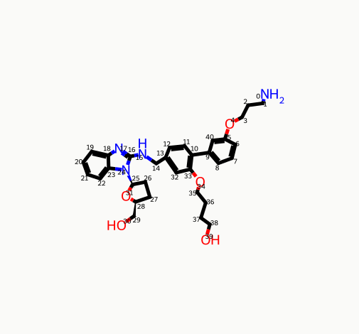 NCCCOc1cccc(-c2ccc(CNc3nc4ccccc4n3[C@H]3CC[C@@H](CO)O3)cc2OCCCCO)c1